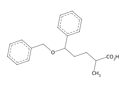 CC(CCC(OCc1ccccc1)c1ccccc1)C(=O)O